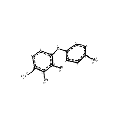 Cc1ccc(Oc2ccc(N)cc2)c(C(C)C)c1C(C)C